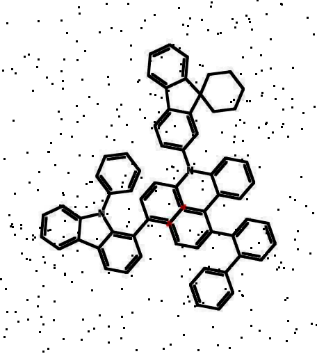 c1ccc(-c2ccccc2-c2ccccc2-c2ccccc2N(c2ccc(-c3cccc4c5ccccc5n(-c5ccccc5)c34)cc2)c2ccc3c(c2)C2(CCCCC2)c2ccccc2-3)cc1